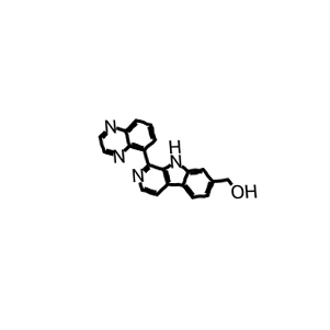 OCc1ccc2c(c1)[nH]c1c(-c3cccc4nccnc34)nccc12